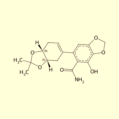 CC1(C)O[C@H]2CC(c3cc4c(c(O)c3C(N)=O)OCO4)=CC[C@H]2O1